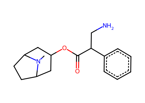 CN1C2CCC1CC(OC(=O)C(CN)c1ccccc1)C2